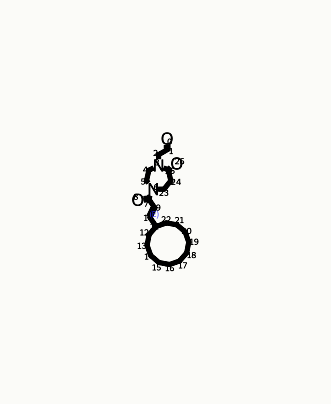 O=CCN1CCN(C(=O)/C=C/C2CCCCCCCCCCC2)CCC1=O